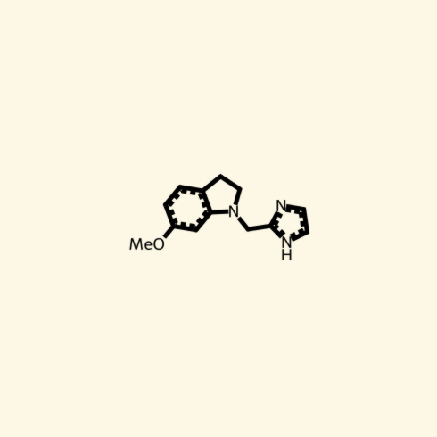 COc1ccc2c(c1)N(Cc1ncc[nH]1)CC2